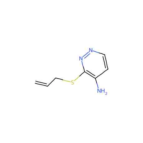 C=CCSc1nnccc1N